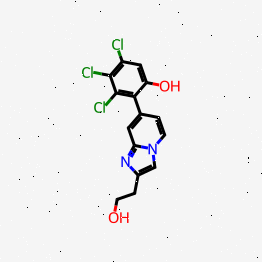 OCCc1cn2ccc(-c3c(O)cc(Cl)c(Cl)c3Cl)cc2n1